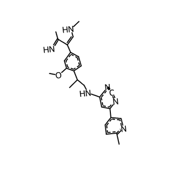 CN/C=C(\C(C)=N)c1ccc(C(C)CNc2cc(-c3ccc(C)nc3)ncn2)c(OC)c1